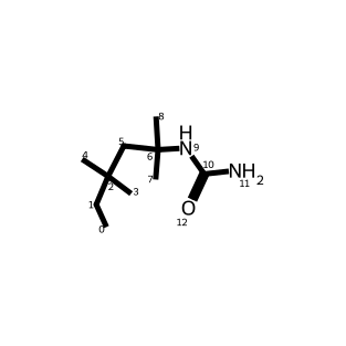 CCC(C)(C)CC(C)(C)NC(N)=O